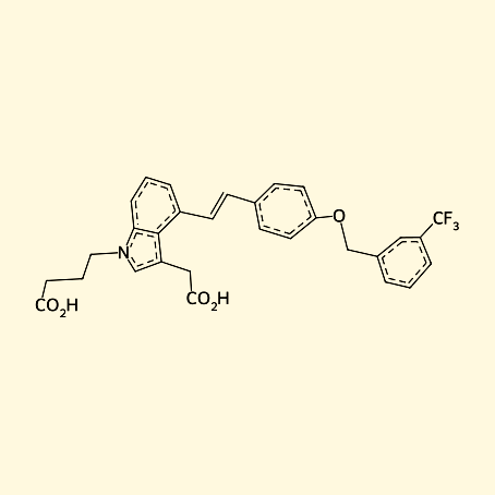 O=C(O)CCCn1cc(CC(=O)O)c2c(C=Cc3ccc(OCc4cccc(C(F)(F)F)c4)cc3)cccc21